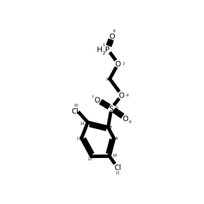 O=[PH2]OCOS(=O)(=O)c1cc(Cl)ccc1Cl